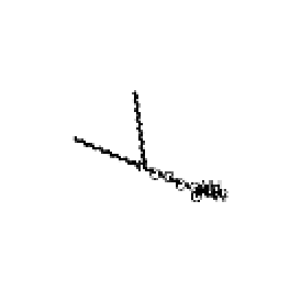 CCCCCCCCCCCCCCCCN(CCCCCCCCCCCCCCCC)CCOCCOCCOCCOC(=O)C(N)Cc1cnc[nH]1